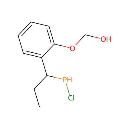 CCC(PCl)c1ccccc1OCO